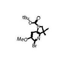 COc1cc2c(nc1Br)C(C)(C)CN2C(=O)OC(C)(C)C